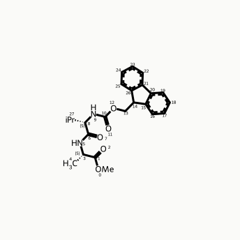 COC(=O)[C@H](C)NC(=O)[C@@H](NC(=O)OCC1c2ccccc2-c2ccccc21)C(C)C